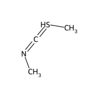 CN=C=[SH]C